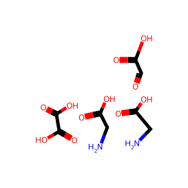 NCC(=O)O.NCC(=O)O.O=C(O)C(=O)O.O=CC(=O)O